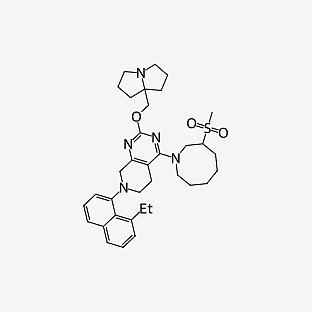 CCc1cccc2cccc(N3CCc4c(nc(OCC56CCCN5CCC6)nc4N4CCCCCC(S(C)(=O)=O)C4)C3)c12